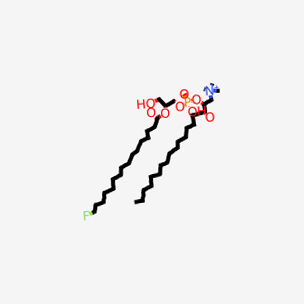 CCCCCCCCCCCCCCCC(=O)C(C[N+](C)(C)C)OP(=O)(O)OCC(CO)OC(=O)CCCCCCCCCCCCCCCF